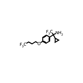 NC([C]1CC1)(c1ccc(OCCCC(F)(F)F)cc1)C(F)(F)F